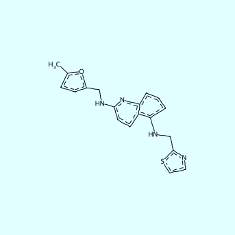 Cc1ccc(CNc2ccc3c(NCc4nccs4)cccc3n2)o1